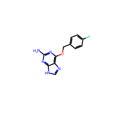 Nc1nc(OCc2ccc(F)cc2)c2nc[nH]c2n1